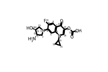 N[C@H]1CN(c2cc3c(cc2F)c(=O)c(OC(=O)O)cn3C2CC2)C[C@@H]1O